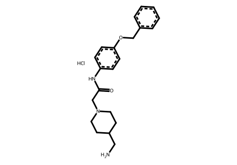 Cl.NCC1CCN(CC(=O)Nc2ccc(OCc3ccccc3)cc2)CC1